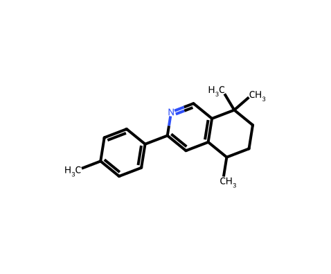 Cc1ccc(-c2cc3c(cn2)C(C)(C)CCC3C)cc1